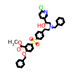 COC(=O)c1cc(S(=O)(=O)c2ccc(CCN(Cc3ccccc3)C[C@@H](O)c3ccc(Cl)nc3)cc2)ccc1OCc1ccccc1